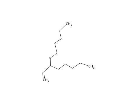 C=CC([C]CCCCC)CCCCC